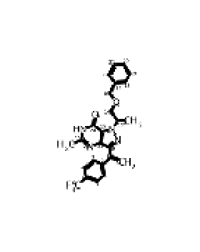 C=C(c1ccc(C(F)(F)F)cc1)c1nn(C(C)COCc2ccccc2)c2c(=O)[nH]c(C)nc12